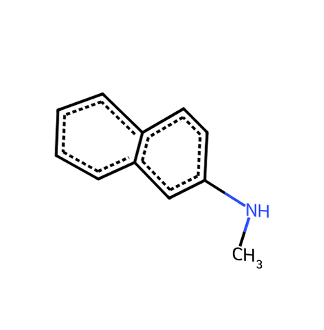 CNc1ccc2ccccc2c1